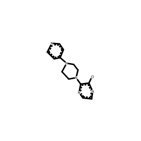 Clc1nccnc1N1CCN(c2ccncc2)CC1